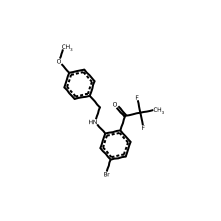 COc1ccc(CNc2cc(Br)ccc2C(=O)C(C)(F)F)cc1